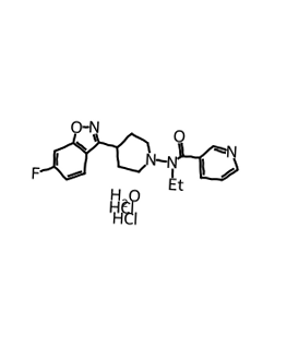 CCN(C(=O)c1cccnc1)N1CCC(c2noc3cc(F)ccc23)CC1.Cl.Cl.O